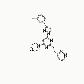 Cc1cccc(-c2ccn(-c3cc(N4CCOCC4)nc(CCc4cccnn4)n3)n2)c1